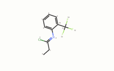 CCC(Cl)=Nc1ccccc1C(F)(F)F